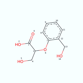 O=C(O)C(CO)Oc1ccccc1CO